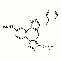 CCOC(=O)c1ncn2c1Cn1c(Cc3ccccc3)nnc1-c1cc(OC)ccc1-2